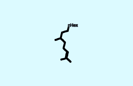 CCCCCCCCC(C)CCC=C(C)C